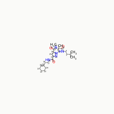 CC(C)CCNC(=O)C1(C)Cn2nc(C(=O)NCCC3=CCCCC3)cc2C(=O)N1C